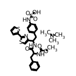 CN(C)C.COC(=O)NC(Cc1ccccc1)C(=O)NC(Cc1ccc(NS(=O)(=O)O)cc1)c1csc(-c2cccs2)n1